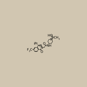 CB(O)N1CCC(NC(=O)Cn2nc(C(C)C)c3cc(C(F)(F)F)ccc3c2=O)CC1